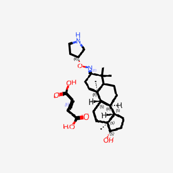 CC1(C)/C(=N/O[C@@H]2CCNC2)CC[C@@]2(C)C1CC[C@H]1[C@@H]3CC[C@H](O)[C@@]3(C)CC[C@@H]12.O=C(O)/C=C/C(=O)O